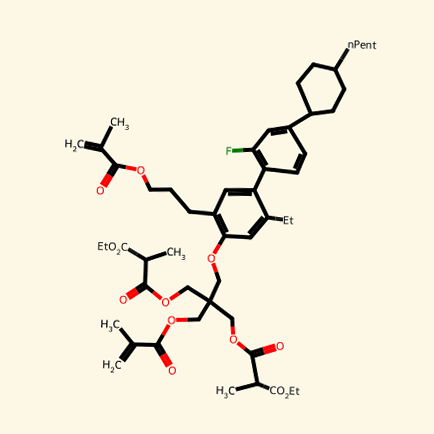 C=C(C)C(=O)OCCCc1cc(-c2ccc(C3CCC(CCCCC)CC3)cc2F)c(CC)cc1OCC(COC(=O)C(=C)C)(COC(=O)C(C)C(=O)OCC)COC(=O)C(C)C(=O)OCC